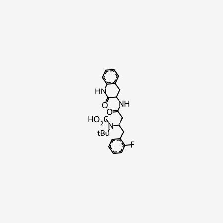 CC(C)(C)N(C(=O)O)[C@@H](CC(=O)NC1Cc2ccccc2NC1=O)Cc1ccccc1F